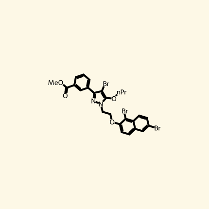 CCCOc1c(Br)c(-c2cccc(C(=O)OC)c2)nn1CCOc1ccc2cc(Br)ccc2c1Br